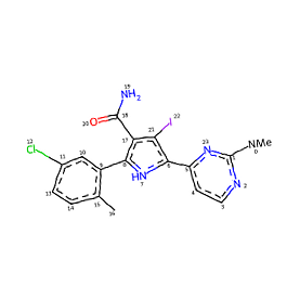 CNc1nccc(-c2[nH]c(-c3cc(Cl)ccc3C)c(C(N)=O)c2I)n1